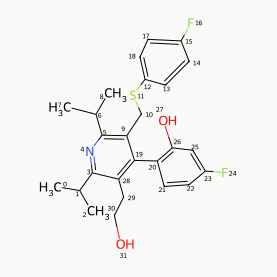 CC(C)c1nc(C(C)C)c(CSc2ccc(F)cc2)c(-c2ccc(F)cc2O)c1CCO